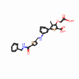 Cc1c(-c2cccc(NCc3ccc(C(=O)NCc4ccccc4)s3)c2)sc(C(=O)O)c1OCC(=O)O